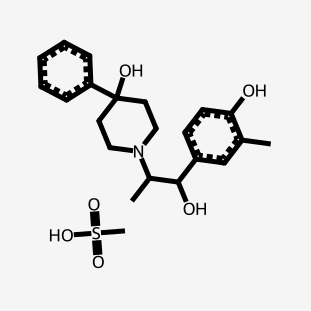 CS(=O)(=O)O.Cc1cc(C(O)C(C)N2CCC(O)(c3ccccc3)CC2)ccc1O